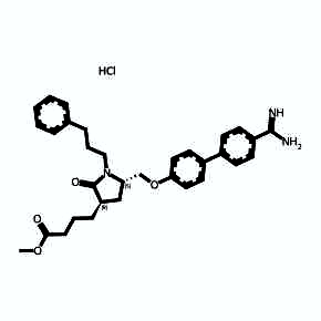 COC(=O)CCC[C@@H]1C[C@@H](COc2ccc(-c3ccc(C(=N)N)cc3)cc2)N(CCCc2ccccc2)C1=O.Cl